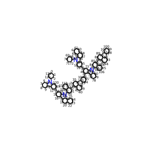 c1ccc(-n2c3ccccc3c3cc(-c4ccc5c6ccc7ccccc7c6n(-c6ccc(-c7ccc8c9c(cccc79)-c7ccc(-c9cc(-c%10ccc%11c(c%10)c%10ccc%12ccccc%12c%10n%11-c%10ccccc%10)cc%10c9c9ccccc9n%10-c9ccc(-c%10ccc%11c%12c(cccc%10%12)-c%10ccccc%10-%11)c%10ccccc9%10)cc7-8)c7ccccc67)c5c4)ccc32)cc1